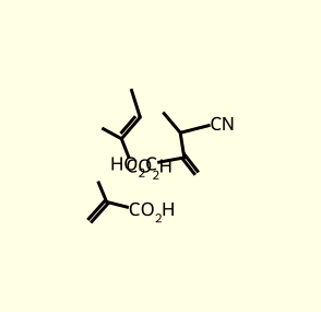 C/C=C(\C)C(=O)O.C=C(C(=O)O)C(C)C#N.C=C(C)C(=O)O